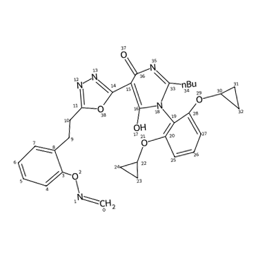 C=NOc1ccccc1CCc1nnc(-c2c(O)n(-c3c(OC4CC4)cccc3OC3CC3)c(CCCC)nc2=O)o1